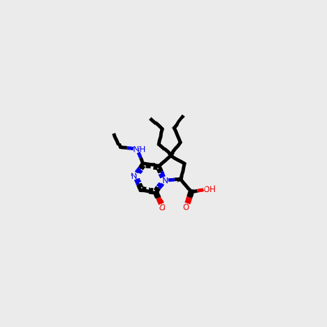 CCCC1(CCC)CC(C(=O)O)n2c1c(NCC)ncc2=O